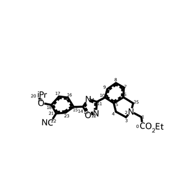 CCOC(=O)CN1CCc2c(cccc2-c2noc(-c3ccc(OC(C)C)c(C#N)c3)n2)C1